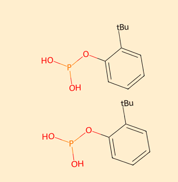 CC(C)(C)c1ccccc1OP(O)O.CC(C)(C)c1ccccc1OP(O)O